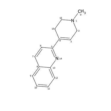 CN1CC=C(c2ccc3ccccc3n2)CC1